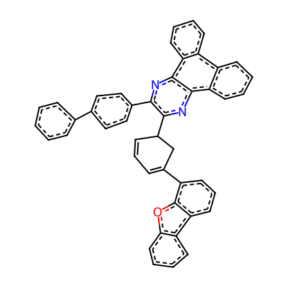 C1=CC(c2nc3c4ccccc4c4ccccc4c3nc2-c2ccc(-c3ccccc3)cc2)CC(c2cccc3c2oc2ccccc23)=C1